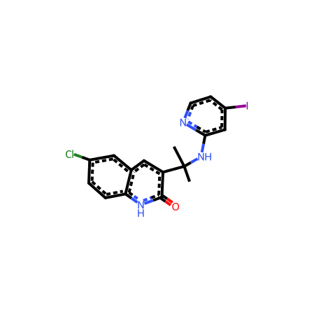 CC(C)(Nc1cc(I)ccn1)c1cc2cc(Cl)ccc2[nH]c1=O